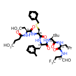 Cc1ccccc1C[C@H](NC(=O)[C@H](CSCc1ccccc1)NC(=O)[C@H](CC(=O)O)NC(=O)CCC(=O)O)C(=O)N[C@H](C(=O)N[C@@H](CC(C)C)C(=O)N[C@H](C=O)CC(F)(F)F)C(C)(C)C